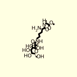 COC(=O)[C@H](C)NC(=O)[C@@H](N)CCCCNC(=O)C(F)(F)[C@]1(O)O[C@H](CO)[C@H](O)[C@H](O)[C@H]1O